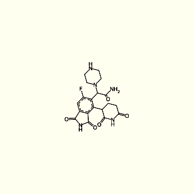 NC(=O)C(c1c(F)cc2c(c1C1CCC(=O)NC1=O)C(=O)NC2=O)N1CCNCC1